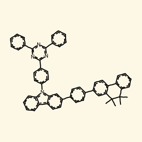 CC1(C)c2ccccc2-c2ccc(-c3ccc(-c4ccc5c6ccccc6n(-c6ccc(-c7nc(-c8ccccc8)nc(-c8ccccc8)n7)cc6)c5c4)cc3)cc2C1(C)C